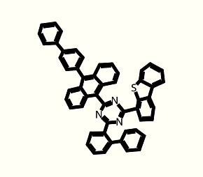 c1ccc(-c2ccc(-c3c4ccccc4c(-c4nc(-c5ccccc5-c5ccccc5)nc(-c5cccc6c5sc5ccccc56)n4)c4ccccc34)cc2)cc1